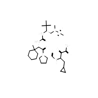 CN(C[C@@H](NC(=O)N[C@H](C(=O)N1CCC[C@H]1C(=O)NC(CC1CC1)C(=O)C(N)=O)C1(C)CCCCC1)C(C)(C)C)S(C)(=O)=O